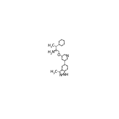 Cc1n[nH]c2ccc(-c3cncc(OC[C@@H](N)C(C)c4ccccc4)c3)cc12